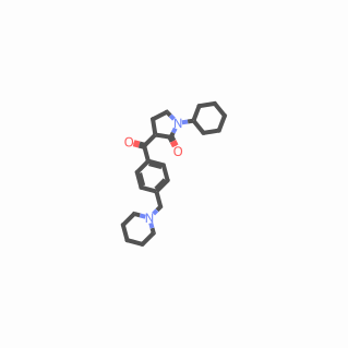 O=C(c1ccc(CN2CCCCC2)cc1)C1CCN(C2CCCCC2)C1=O